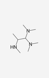 CNC(C)C(N(C)C)N(C)C